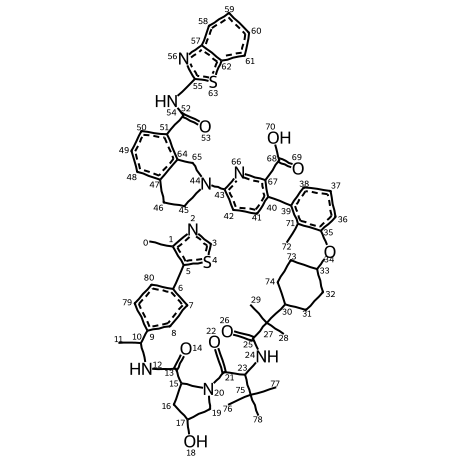 Cc1ncsc1-c1ccc(C(C)NC(=O)C2CC(O)CN2C(=O)C(NC(=O)C(C)(C)C2CCC(Oc3cccc(-c4ccc(N5CCc6cccc(C(=O)Nc7nc8ccccc8s7)c6C5)nc4C(=O)O)c3C)CC2)C(C)(C)C)cc1